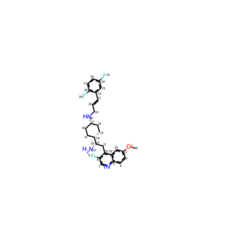 COc1ccc2ncc(F)c(C[C@H](N)[C@H]3CC[C@@H](NCC=Cc4cc(F)ccc4F)CC3)c2c1